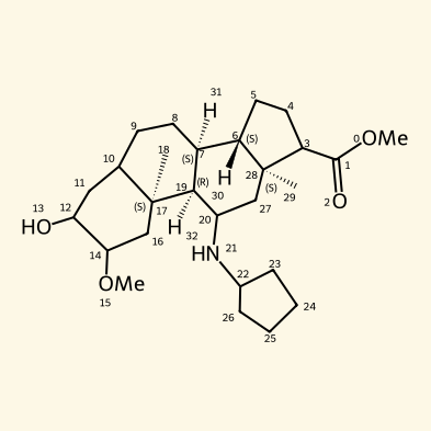 COC(=O)C1CC[C@H]2[C@@H]3CCC4CC(O)C(OC)C[C@]4(C)[C@@H]3C(NC3CCCC3)C[C@]12C